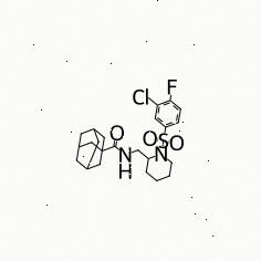 O=C(NCC1CCCCN1S(=O)(=O)c1ccc(F)c(Cl)c1)C12CC3CC(CC(C3)C1)C2